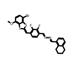 COc1ccc(Br)c2c1S/C(=C/c1ccc(/C=N/N=C/c3cccc4c3CCCC4)c(F)c1F)S2